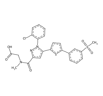 CN(CC(=O)O)C(=O)c1cc(-c2ccc(-c3cccc(S(C)(=O)=O)c3)s2)n(-c2ccccc2Cl)n1